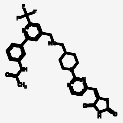 CC(=O)Nc1cccc(-c2cc(CNCC3CCN(c4nccc(C=C5SC(=O)NC5=O)n4)CC3)cc(C(F)(F)F)n2)c1